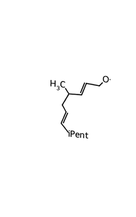 CCCC(C)/C=C/CC(C)/C=C/C[O]